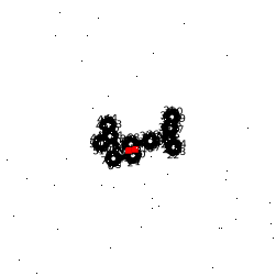 c1ccc(-c2ccccc2N(c2ccc(-c3ccc(-n4c5ccccc5c5cc6ccccc6cc54)cc3)cc2)c2cc3ccccc3c3ccccc23)cc1